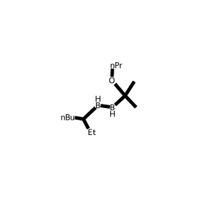 CCCCC(BBC(C)(C)OCCC)CC